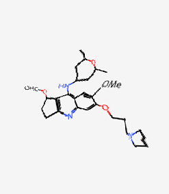 COc1cc2c(NC3CC(C)OC(C)C3)c3c(nc2cc1OCCCN1CCCC1)CCC3OC=O